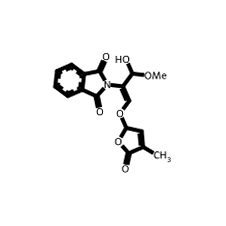 COC(O)/C(=C/OC1C=C(C)C(=O)O1)N1C(=O)c2ccccc2C1=O